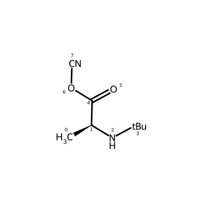 C[C@H](NC(C)(C)C)C(=O)OC#N